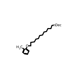 CCCCCCCCCCCCCCCCCCCCCCOc1ccccc1C